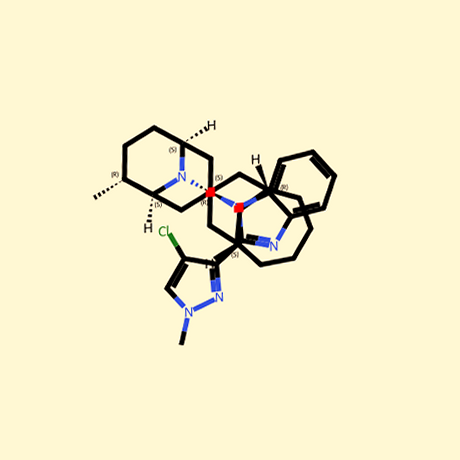 C[C@@H]1CC[C@H]2C[C@@H](n3c(-c4nn(C)cc4Cl)nc4ccccc43)C[C@@H]1N2[C@@H]1C[C@@H]2CCCC[C@@H](C2)C1